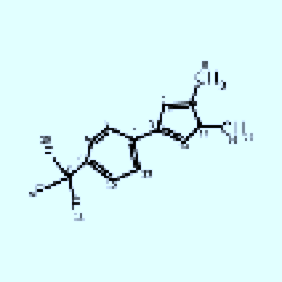 CC1=CC(c2ccc(C(F)(F)F)cc2)=CC1C